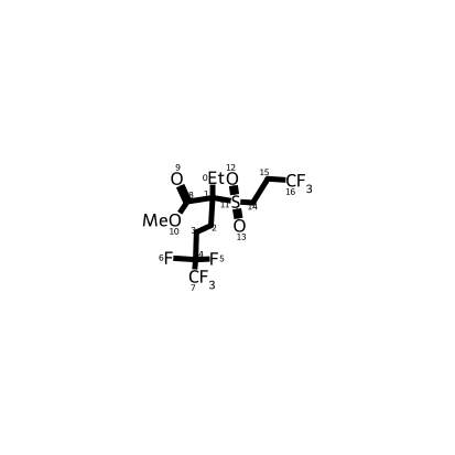 CCC(CCC(F)(F)C(F)(F)F)(C(=O)OC)S(=O)(=O)CCC(F)(F)F